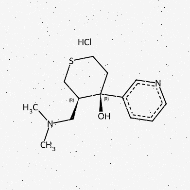 CN(C)C[C@H]1CSCC[C@]1(O)c1cccnc1.Cl